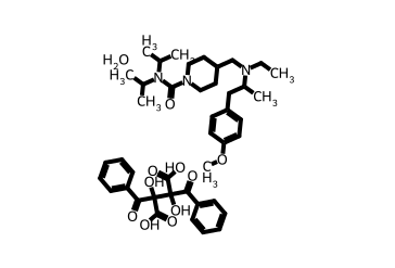 CCN(CC1CCN(C(=O)N(C(C)C)C(C)C)CC1)C(C)Cc1ccc(OC)cc1.O.O=C(O)C(O)(C(=O)c1ccccc1)C(O)(C(=O)O)C(=O)c1ccccc1